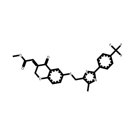 COC(=O)/C=C1\COc2ccc(SCc3sc(-c4ccc(C(F)(F)F)cc4)nc3C)cc2C1=O